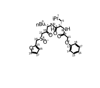 CCCC[C@H](NC(=O)[C@H](CC(C)C)NC(=O)COc1ccccc1)C(=O)C[S+]([O-])Cc1ccco1